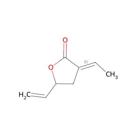 C=CC1C/C(=C\C)C(=O)O1